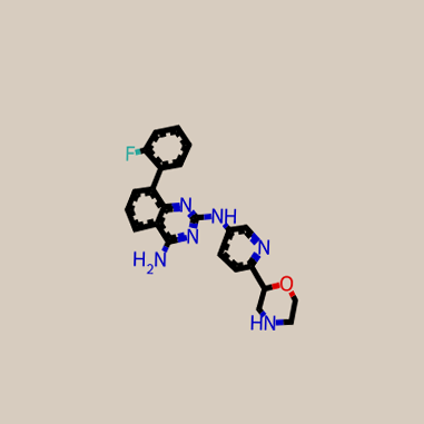 Nc1nc(Nc2ccc(C3CNCCO3)nc2)nc2c(-c3ccccc3F)cccc12